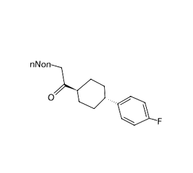 CCCCCCCCCCC(=O)[C@H]1CC[C@H](c2ccc(F)cc2)CC1